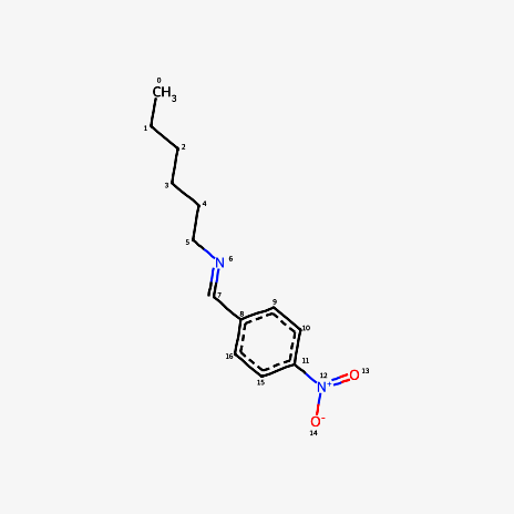 CCCCCCN=Cc1ccc([N+](=O)[O-])cc1